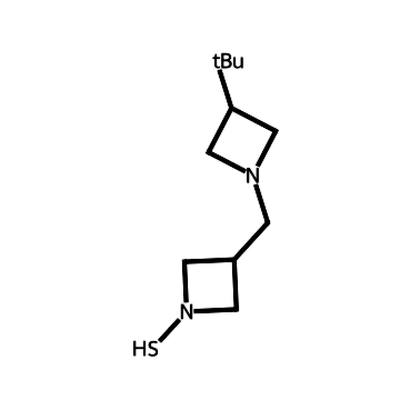 CC(C)(C)C1CN(CC2CN(S)C2)C1